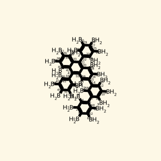 Bc1c(B)c(B)c(-c2c(B)c(B)c(B)c(-c3c(B)c(B)c4c(-c5c(B)c(B)c(B)c(B)c5B)c5c(B)c(B)c(B)c(B)c5c(-c5c(B)c(B)c(B)c(B)c5B)c4c3B)c2B)c(B)c1B